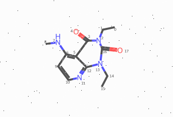 CCn1c(=O)c2c(NC)ccnc2n(CC)c1=O